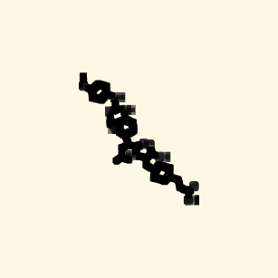 COc1ccc(NC(=NC#N)Nc2ccc(C(CC(C)C)C(=O)NC(Cc3ccc(CCC(=O)O)cc3)C(=O)O)cc2)cc1